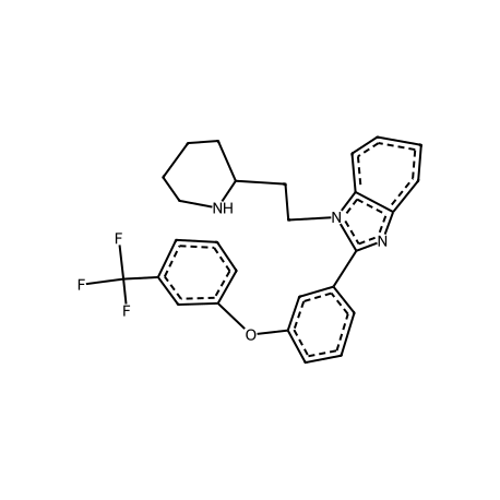 FC(F)(F)c1cccc(Oc2cccc(-c3nc4ccccc4n3CCC3CCCCN3)c2)c1